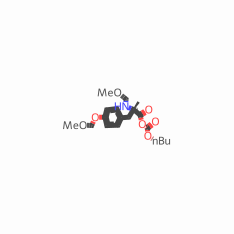 CCCCOC(=O)OC(=O)[C@](C)(Cc1ccc(OCOC)cc1)NCOC